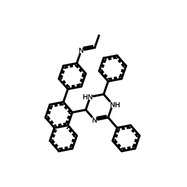 CC=Nc1ccc(-c2ccc3ccccc3c2C2N=C(c3ccccc3)NC(c3ccccc3)N2)cc1